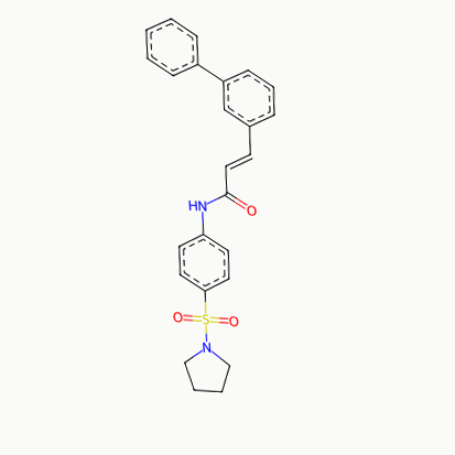 O=C(C=Cc1cccc(-c2ccccc2)c1)Nc1ccc(S(=O)(=O)N2CCCC2)cc1